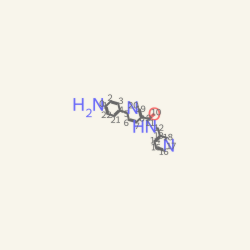 Nc1ccc(-c2ccc(C(=O)NCc3cccnc3)cn2)cc1